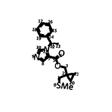 CSCC1(COC(=O)c2cncn2[C@H](C)c2ccccc2)CC1